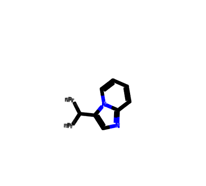 CCCC(CCC)c1cnc2ccccn12